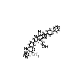 C[C@@H](Cn1cnnn1)Oc1cc(-c2cnc(Nc3cn(C4CCC(N5CCOCC5)CC4)nc3OCCO)nc2)ccc1C#N